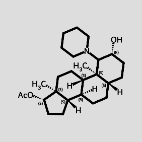 CC(=O)O[C@H]1CC[C@H]2[C@@H]3CC[C@H]4CC[C@@H](O)C(N5CCCCC5)[C@]4(C)[C@H]3CC[C@]12C